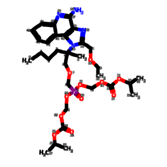 CCCCC(C)(COCP(=O)(OCOC(=O)OC(C)C)OCOC(=O)OC(C)C)n1c(COCC)nc2c(N)nc3ccccc3c21